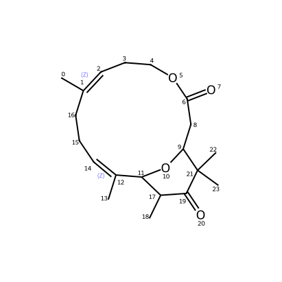 C/C1=C/CCOC(=O)CC2OC(/C(C)=C\CC1)C(C)C(=O)C2(C)C